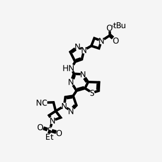 CCS(=O)(=O)N1CC(CC#N)(n2cc(-c3nc(Nc4cnn(C5CN(C(=O)OC(C)(C)C)C5)c4)nc4ccsc34)cn2)C1